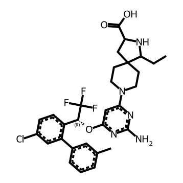 CCC1NC(C(=O)O)CC12CCN(c1cc(O[C@H](c3ccc(Cl)cc3-c3cccc(C)c3)C(F)(F)F)nc(N)n1)CC2